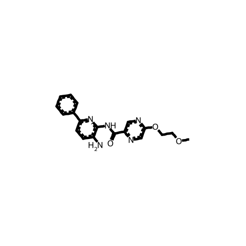 COCCOc1cnc(C(=O)Nc2nc(-c3ccccc3)ccc2N)cn1